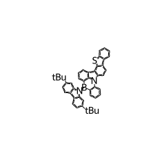 CC(C)(C)c1ccc2c3ccc(C(C)(C)C)cc3n(B3c4ccccc4-n4c5ccc6c7ccccc7sc6c5c5cccc3c54)c2c1